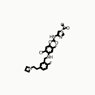 O=C(NC1=CS(=S(=O)=O)C=N1)Oc1cc(Cl)c(NCc2cc(CCN3CCC3)ccc2F)cc1F